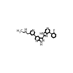 CCNCc1cncc(-c2cnc3[nH]nc(-c4nc5c(-c6ccccc6F)cncc5[nH]4)c3c2)c1